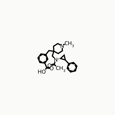 CC(=O)N(CC1(Cc2cccc(C(=O)O)c2)CCN(C)CC1)[C@@H]1CC1c1ccccc1